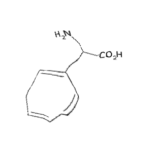 NC(C(=O)O)C1=CCC=CC=C1